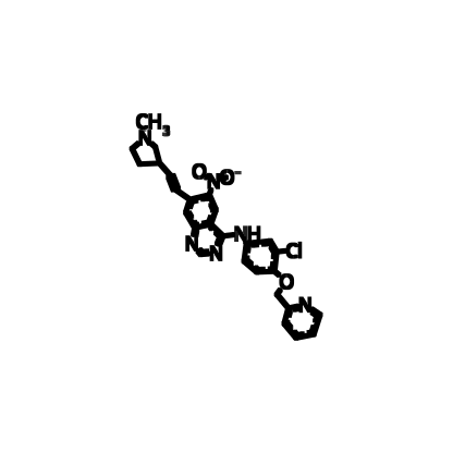 CN1CCC(C#Cc2cc3ncnc(Nc4ccc(OCc5ccccn5)c(Cl)c4)c3cc2[N+](=O)[O-])C1